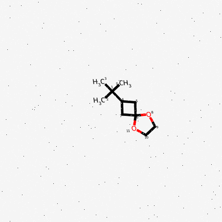 CC(C)(C)C1CC2(C1)OCCO2